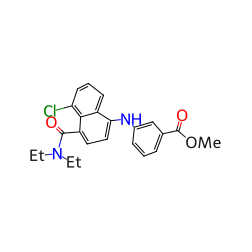 CCN(CC)C(=O)c1ccc(Nc2cccc(C(=O)OC)c2)c2cccc(Cl)c12